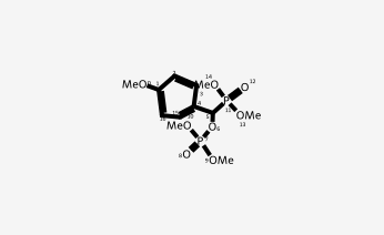 COc1ccc(C(OP(=O)(OC)OC)P(=O)(OC)OC)cc1